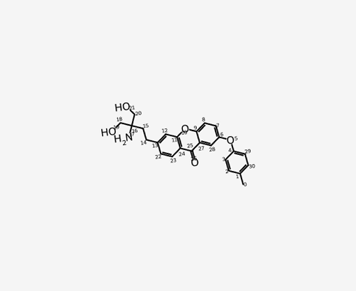 Cc1ccc(Oc2ccc3oc4cc(CCC(N)(CO)CO)ccc4c(=O)c3c2)cc1